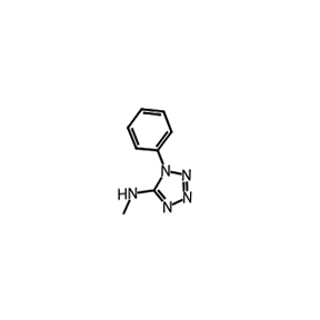 CNc1nnnn1-c1ccccc1